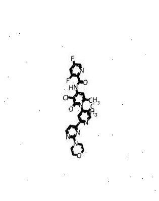 Cc1cnc(-c2ccnc(N3CCOCC3)n2)cc1-n1c(C)cc(NC(=O)c2ncc(F)cc2F)c(Cl)c1=O